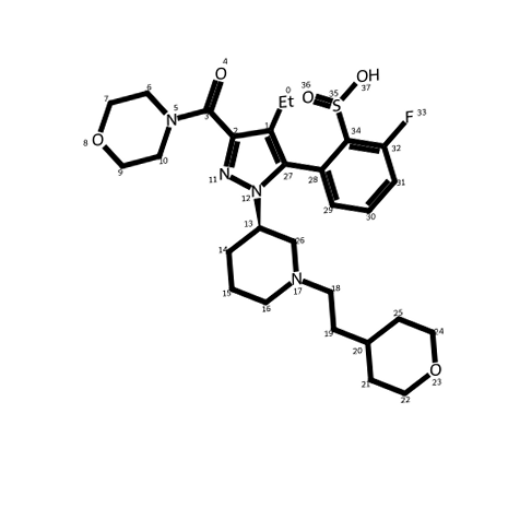 CCc1c(C(=O)N2CCOCC2)nn([C@@H]2CCCN(CCC3CCOCC3)C2)c1-c1cccc(F)c1S(=O)O